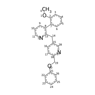 COc1ccccc1-c1cccnc1Cc1ccc(COc2ccccc2)nc1